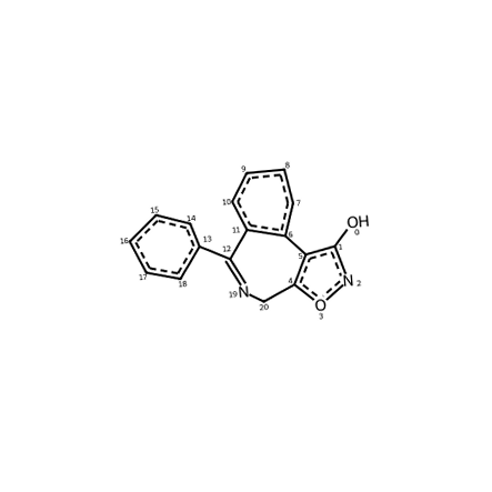 Oc1noc2c1-c1ccccc1C(c1ccccc1)=NC2